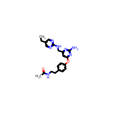 CCc1cnc(NCc2cc(Oc3ccc(CCNC(C)=O)cc3)nc(N)n2)nc1